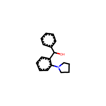 OC(c1ccccc1)c1ccccc1N1CCCC1